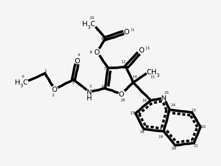 CCOC(=O)NC1=C(OC(C)=O)C(=O)C(C)(c2ccc3ccccc3n2)O1